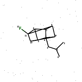 CC(C)CC12C3C4C1C1C2C3C41F